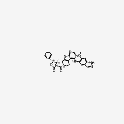 COc1cc2[nH]ncc2cc1Nc1ncnc2sc3c(c12)CC[C@H](C(=O)N1C(=O)O[C@H](c2ccccc2)[C@@H]1C)C3